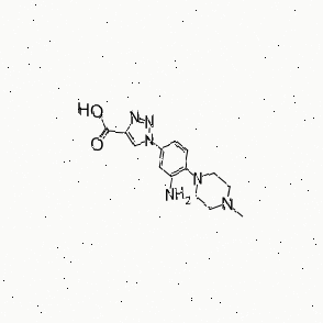 CN1CCN(c2ccc(-n3cc(C(=O)O)nn3)cc2N)CC1